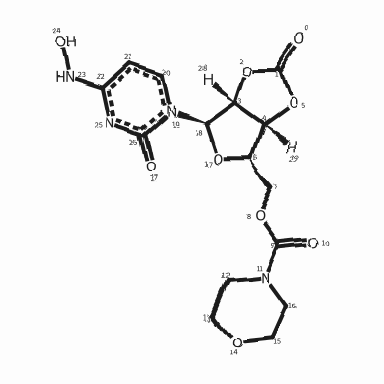 O=C1O[C@@H]2[C@H](O1)[C@@H](COC(=O)N1CCOCC1)O[C@H]2n1ccc(NO)nc1=O